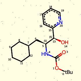 CC(C)(C)OC(=O)N[C@@H](CC1CCCCC1)[C@H](O)c1ccccn1